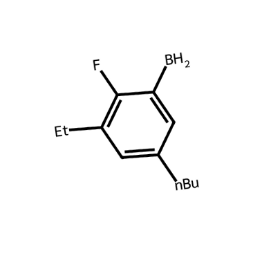 Bc1cc(CCCC)cc(CC)c1F